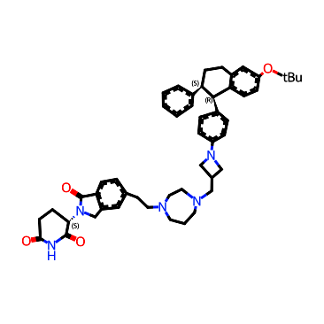 CC(C)(C)Oc1ccc2c(c1)CC[C@H](c1ccccc1)[C@@H]2c1ccc(N2CC(CN3CCCN(CCc4ccc5c(c4)CN([C@H]4CCC(=O)NC4=O)C5=O)CC3)C2)cc1